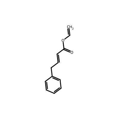 C=COC(=O)/C=C/Cc1ccccc1